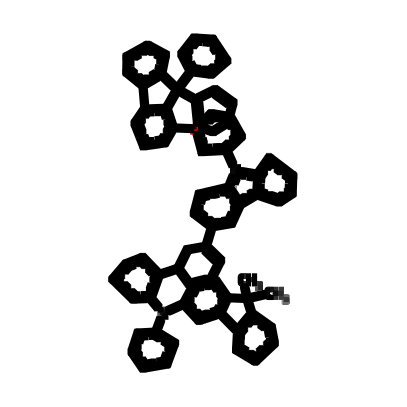 CC1(C)c2ccccc2-c2cc(N(c3ccccc3)c3ccccc3C3C=CC=C(c4ccc5c(c4)c4ccccc4n5-c4cccc(-c5cccc6c5C(C5=CCCC=C5)(c5ccccc5)c5ccccc5-6)c4)C3)ccc21